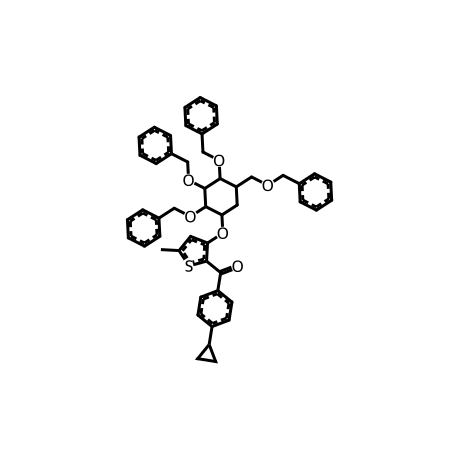 Cc1cc(OC2CC(COCc3ccccc3)C(OCc3ccccc3)C(OCc3ccccc3)C2OCc2ccccc2)c(C(=O)c2ccc(C3CC3)cc2)s1